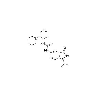 CC(C)n1[nH]c(=O)c2cc(NC(=O)Nc3ccccc3N3CCCCC3)ccc21